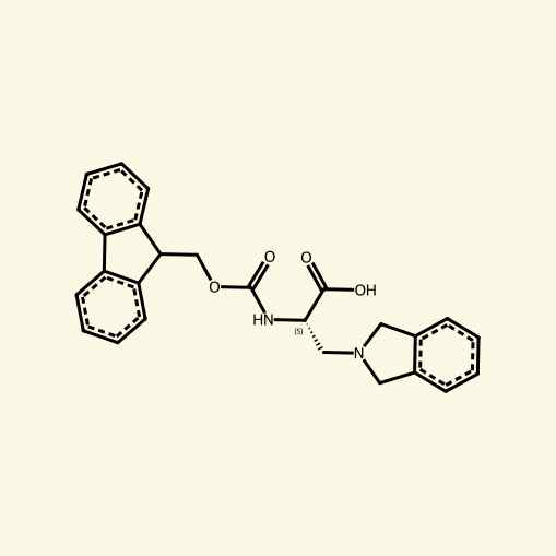 O=C(N[C@@H](CN1Cc2ccccc2C1)C(=O)O)OCC1c2ccccc2-c2ccccc21